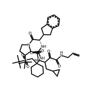 C=CCNC(=O)C(=O)C(CC1CC1)NC(=O)C1C(C(C)(C)C)CCN1C(=O)[C@@H](NC(=O)NC1(CS(=O)(=O)C(C)(C)C)CCCCC1)C1Cc2ccccc2C1